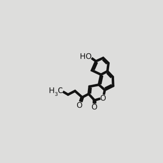 CCCC(=O)c1cc2c(ccc3ccc(O)cc32)oc1=O